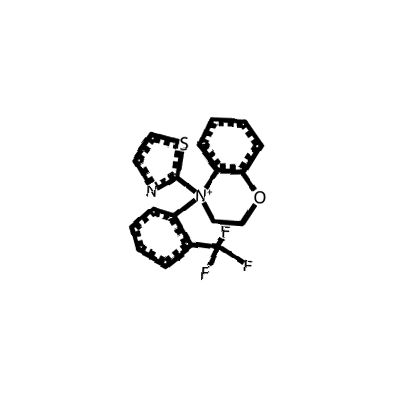 FC(F)(F)c1ccccc1[N+]1(c2nccs2)CCOc2ccccc21